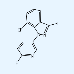 Fc1ccc(-n2nc(I)c3cccc(Cl)c32)cn1